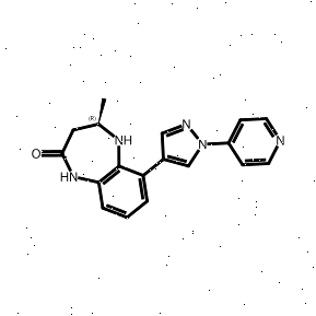 C[C@@H]1CC(=O)Nc2cccc(-c3cnn(-c4ccncc4)c3)c2N1